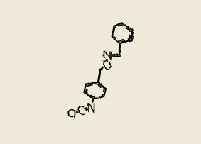 O=C=Nc1ccc(CON=Cc2ccccc2)cc1